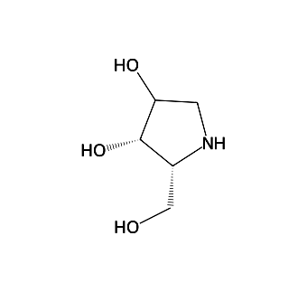 OC[C@H]1NCC(O)[C@H]1O